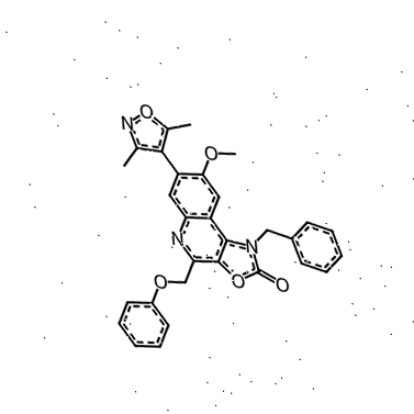 COc1cc2c(cc1-c1c(C)noc1C)nc(COc1ccccc1)c1oc(=O)n(Cc3ccccc3)c12